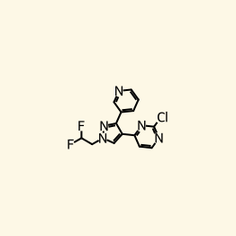 FC(F)Cn1cc(-c2ccnc(Cl)n2)c(-c2cccnc2)n1